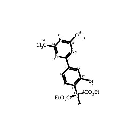 CCOC(=O)[N+](C)(C(=O)OCC)c1ccc(-c2nc(C(Cl)(Cl)Cl)nc(C(Cl)(Cl)Cl)n2)cc1Br